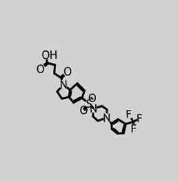 O=C(O)CCC(=O)N1CCc2cc(S(=O)(=O)N3CCN(c4cccc(C(F)(F)F)c4)CC3)ccc21